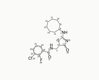 O=C(NCC1SC(NC2CCCCCCC2)=NC1=O)c1cccc(Cl)c1F